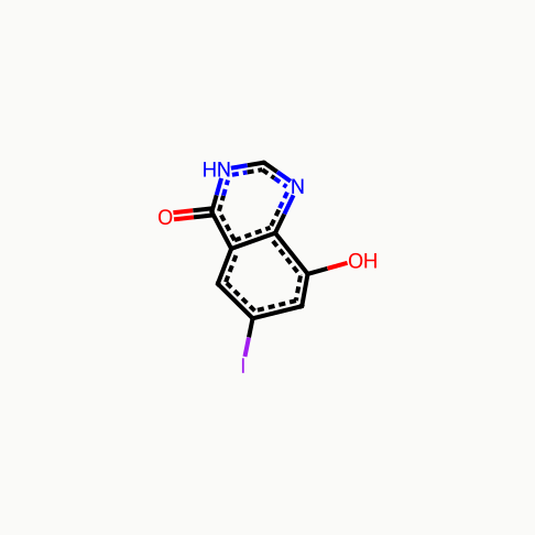 O=c1[nH]cnc2c(O)cc(I)cc12